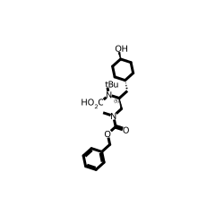 CN(C[C@H](C[C@H]1CC[C@H](O)CC1)N(C(=O)O)C(C)(C)C)C(=O)OCc1ccccc1